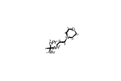 CCCCC(C)(CCC)NCCN1CCOCC1